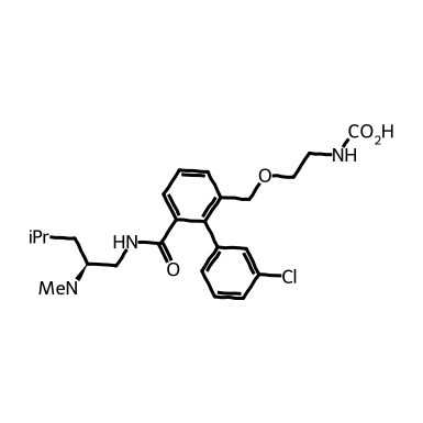 CN[C@H](CNC(=O)c1cccc(COCCNC(=O)O)c1-c1cccc(Cl)c1)CC(C)C